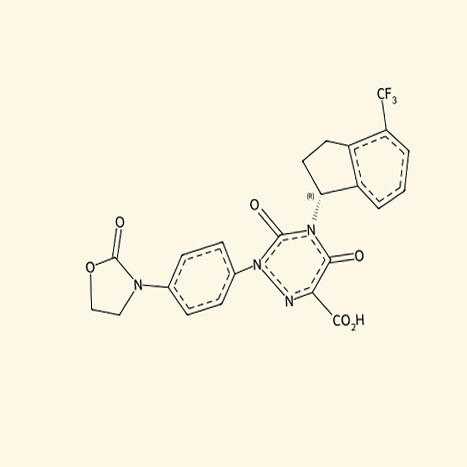 O=C(O)c1nn(-c2ccc(N3CCOC3=O)cc2)c(=O)n([C@@H]2CCc3c2cccc3C(F)(F)F)c1=O